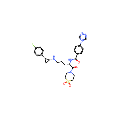 O=C(N[C@@H](CCCN[C@@H]1C[C@H]1c1ccc(F)cc1)C(=O)N1CCS(=O)(=O)CC1)c1ccc(-n2cnnc2)cc1